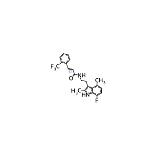 Cc1[nH]c2c(F)ccc(C)c2c1CCNC(=O)/C=C/c1ccccc1C(F)(F)F